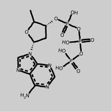 CC1O[C@@H](n2cnc3c(N)ncnc32)C[C@H]1OP(=O)(O)OP(=O)(O)OP(=O)(O)O